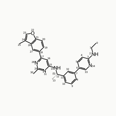 CCNc1ccc(-c2cccc([C@H](C)Nc3cc(-c4ccc5occ(C)c5c4)nc(C)n3)c2)cn1